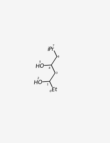 CCC(O)CC(O)CC(C)C